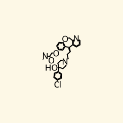 CN(C)C(=O)COc1ccc2c(c1)C(=CCCN1CCC(O)(c3ccc(Cl)cc3)CC1)c1cccnc1CO2